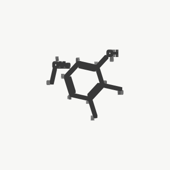 COC.Cc1cccc(O)c1C